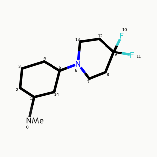 CNC1CCCC(N2CCC(F)(F)CC2)C1